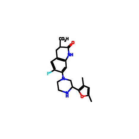 Cc1cc(C)c(C2CN(c3cc4c(cc3F)CC(C(=O)O)C(=O)N4)CCN2)o1